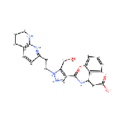 O=C(O)CC(NC(=O)c1cnn(CCc2ccc3c(n2)NCCC3)c1CO)c1ccccc1